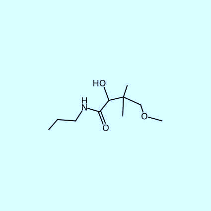 CCCNC(=O)C(O)C(C)(C)COC